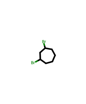 BrC1CCCCC(Br)C1